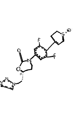 O=C1O[C@@H](Cn2ccnn2)CN1c1cc(F)c(C2=CC[S+]([O-])CC2)c(F)c1